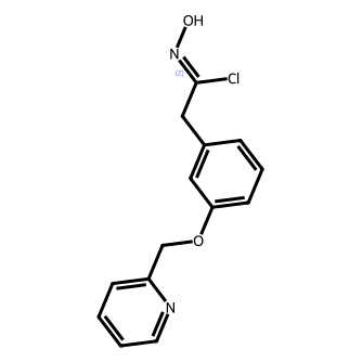 O/N=C(\Cl)Cc1cccc(OCc2ccccn2)c1